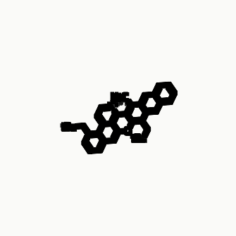 Cc1c2c(c(CC(C)(C)C)c3cc4ccccc4cc13)Oc1cc3cccc(CC(C)(C)C)c3c3cc[n+](C)c-2c13